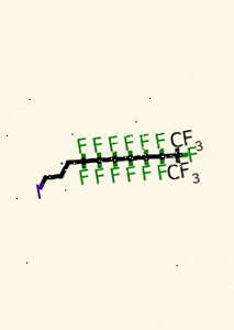 FC(F)(F)C(F)(C(F)(F)F)C(F)(F)C(F)(F)C(F)(F)C(F)(F)C(F)(F)C(F)(F)[CH]CCI